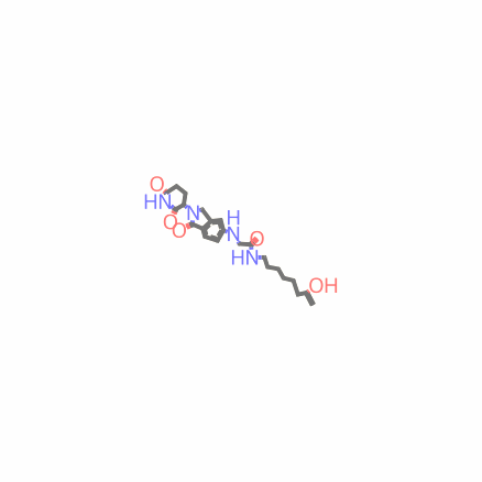 C=C(O)CCCCCCNC(=O)CNc1ccc2c(c1)CN(C1CCC(=O)NC1=O)C2=O